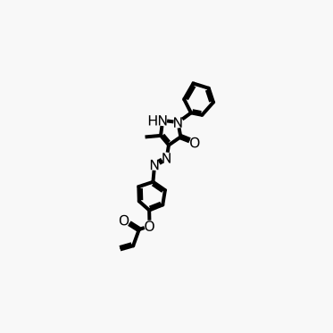 C=CC(=O)Oc1ccc(N=Nc2c(C)[nH]n(-c3ccccc3)c2=O)cc1